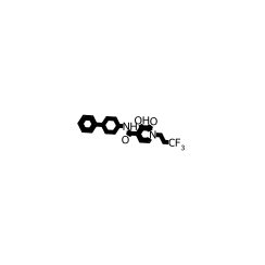 O=C(NC1CCC(c2ccccc2)CC1)c1ccn(CCC(F)(F)F)c(=O)c1O